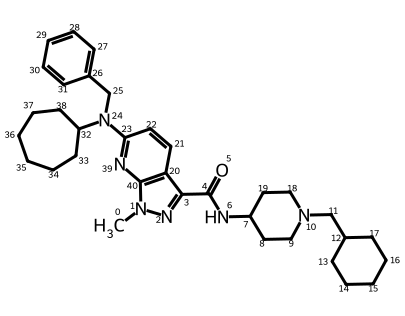 Cn1nc(C(=O)NC2CCN(CC3CCCCC3)CC2)c2ccc(N(Cc3ccccc3)C3CCCCCC3)nc21